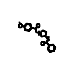 COc1ccc(C(=O)CN2CC[C@H](SC(=O)c3ccccc3)C2)cc1